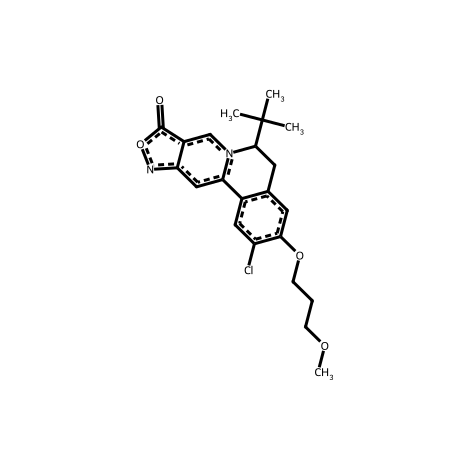 COCCCOc1cc2c(cc1Cl)-c1cc3noc(=O)c-3cn1C(C(C)(C)C)C2